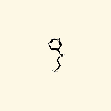 FC(F)(F)CCNc1cncnc1